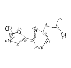 CC(O)Cc1nccc(-c2cnc(Cl)o2)n1